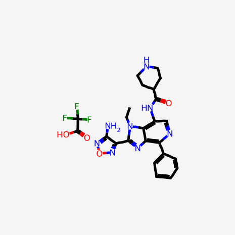 CCn1c(-c2nonc2N)nc2c(-c3ccccc3)ncc(NC(=O)C3CCNCC3)c21.O=C(O)C(F)(F)F